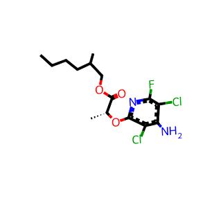 CCCCC(C)COC(=O)[C@@H](C)Oc1nc(F)c(Cl)c(N)c1Cl